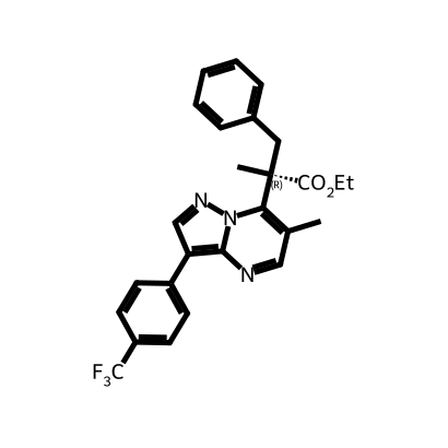 CCOC(=O)[C@](C)(Cc1ccccc1)c1c(C)cnc2c(-c3ccc(C(F)(F)F)cc3)cnn12